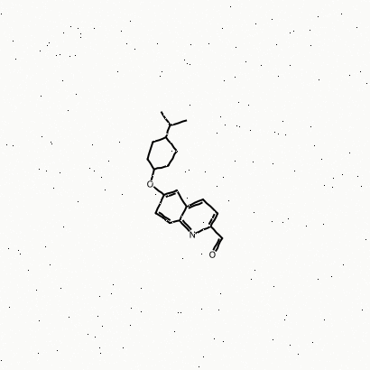 CC(C)C1CCC(Oc2ccc3nc(C=O)ccc3c2)CC1